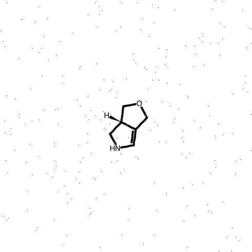 C1=C2COC[C@H]2CN1